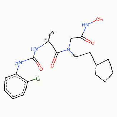 CC(C)[C@H](NC(=O)Nc1ccccc1Cl)C(=O)N(CCC1CCCC1)CC(=O)NO